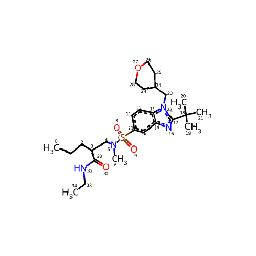 CCCC(CN(C)S(=O)(=O)c1ccc2c(c1)nc(C(C)(C)C)n2CC1CCOCC1)C(=O)NCC